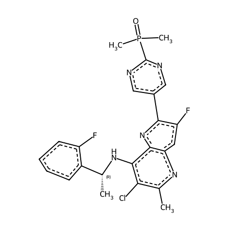 Cc1nc2cc(F)c(-c3cnc(P(C)(C)=O)nc3)nc2c(N[C@H](C)c2ccccc2F)c1Cl